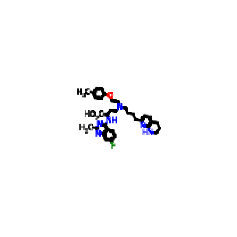 Cc1ccc(OCCN(CCCCc2ccc3c(n2)NCCC3)CCC(Nc2nc(C)nc3cc(F)ccc23)C(=O)O)cc1